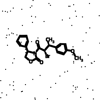 COc1ccc([C@H](C)[C@@H](Br)C(=O)N2C(=O)OCC2c2ccccc2)cc1